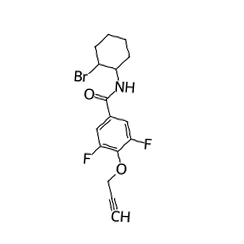 C#CCOc1c(F)cc(C(=O)NC2CCCCC2Br)cc1F